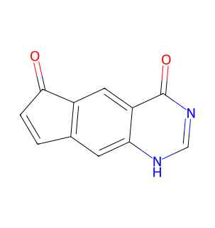 O=C1C=Cc2cc3[nH]cnc(=O)c3cc21